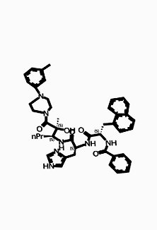 CCC[C@H](NC(=O)[C@H](Cc1c[nH]cn1)NC(=O)[C@H](Cc1cccc2ccccc12)NC(=O)c1ccccc1)[C@](C)(O)C(=O)N1CCN(c2cccc(C)c2)CC1